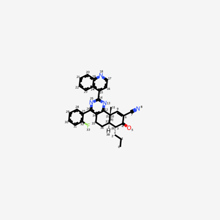 CCC[C@H]1C(=O)C(C#N)=C[C@@]2(C)c3nc(-c4ccnc5ccccc45)nc(-c4ccccc4F)c3CC[C@H]12